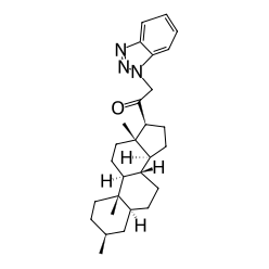 C[C@H]1CC[C@@]2(C)[C@@H](CC[C@@H]3[C@@H]2CC[C@]2(C)[C@@H](C(=O)Cn4nnc5ccccc54)CC[C@@H]32)C1